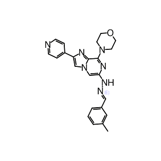 Cc1cccc(/C=N/Nc2cn3cc(-c4ccncc4)nc3c(N3CCOCC3)n2)c1